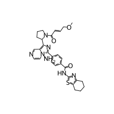 COC/C=C/C(=O)N1CCCC1C1=C2C=NC=C[N+]2(N)C(c2ccc(C(=O)Nc3nc4c(s3)CCCC4)cc2)=N1